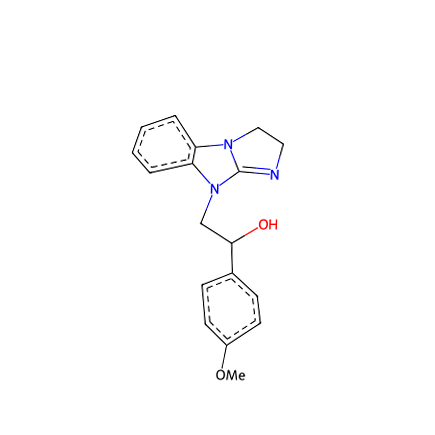 COc1ccc(C(O)CN2C3=NCCN3c3ccccc32)cc1